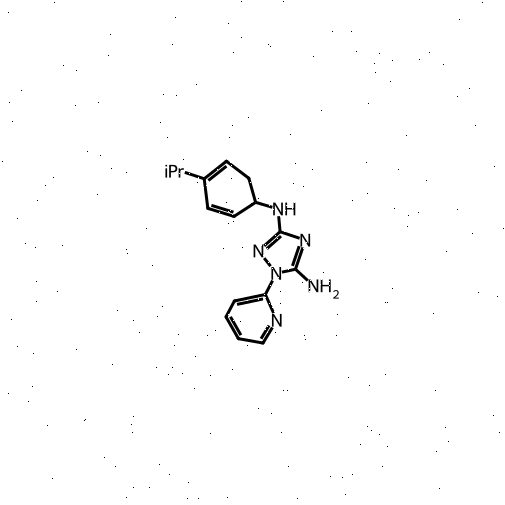 CC(C)C1=CCC(Nc2nc(N)n(-c3ccccn3)n2)C=C1